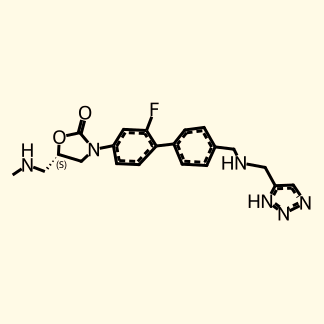 CNC[C@H]1CN(c2ccc(-c3ccc(CNCc4cnn[nH]4)cc3)c(F)c2)C(=O)O1